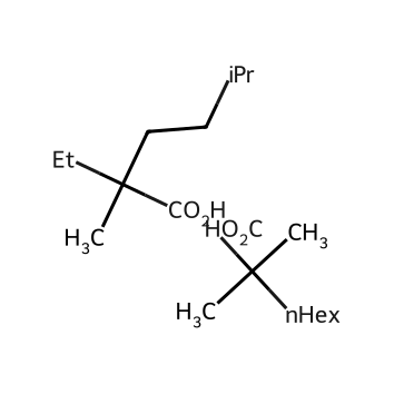 CCC(C)(CCC(C)C)C(=O)O.CCCCCCC(C)(C)C(=O)O